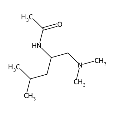 CC(=O)NC(CC(C)C)CN(C)C